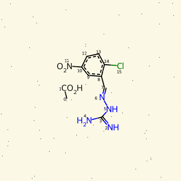 CC(=O)O.N=C(N)NN=Cc1cc([N+](=O)[O-])ccc1Cl